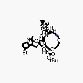 CCc1ccc2nc(C)c3c(c2c1)CC[C@]1(C[C@H]2C(=O)N[C@]4(C(=O)NS(=O)(=O)C5(C)CC5)C[C@H]4/C=C\CCCCC[C@H](NC(=O)OC(C)(C)C)C(=O)N2C1)O3